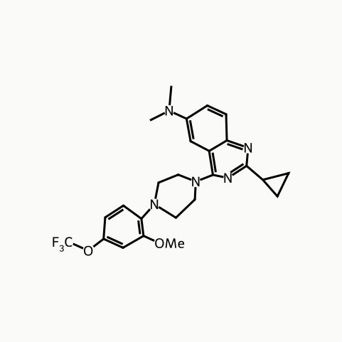 COc1cc(OC(F)(F)F)ccc1N1CCN(c2nc(C3CC3)nc3ccc(N(C)C)cc23)CC1